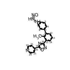 Cc1c(-c2ccc3c(c2)N3NN=O)cccc1-c1noc(-c2ccncc2)n1